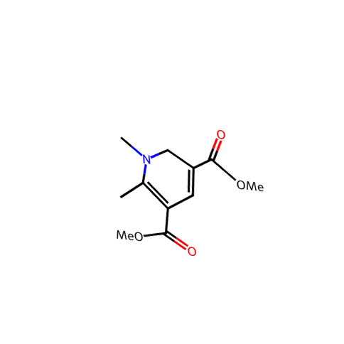 COC(=O)C1=CC(C(=O)OC)=C(C)N(C)C1